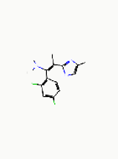 Cc1c[nH]c(/C(C=O)=C(\c2ccc(Cl)cc2Cl)N(C)C)n1